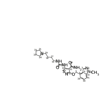 Cn1ncc2c(COc3nsc(NC(=O)NCCCCN4CCCC4)c3C(N)=O)cccc21